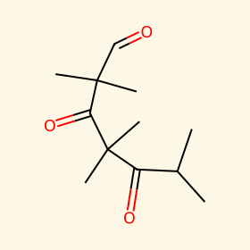 CC(C)C(=O)C(C)(C)C(=O)C(C)(C)C=O